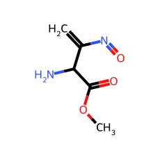 C=C(N=O)C(N)C(=O)OC